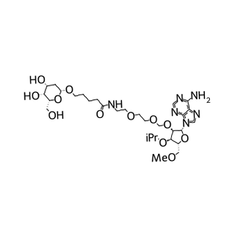 COC[C@H]1O[C@@H](n2cnc3c(N)ncnc32)[C@H](OCOCCOCCNC(=O)CCCCO[C@H]2C[C@@H](O)[C@@H](O)[C@@H](CO)O2)[C@@H]1OC(C)C